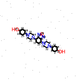 Oc1ccc(N2CCN(c3ccc(N4CCN(c5ccc(O)cc5)CC4)c4nonc34)CC2)cc1